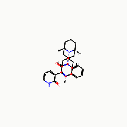 C[C@@H]1C[C@@H]2C[C@H](C1)C[C@@H](N1[C@@H]3CCC[C@H]1C[C@@H](n1c(=O)c(-c4ccc[nH]c4=O)nc4ccccc41)C3)C2